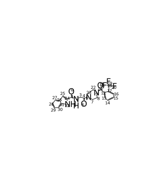 O=C(NCC(=O)N1CCN(C(=O)c2ccccc2C(F)(F)F)CC1)c1cc2ccccc2[nH]1